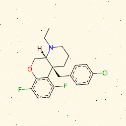 CCN1CCC[C@]2(Cc3ccc(Cl)cc3)c3c(F)ccc(F)c3OC[C@H]12